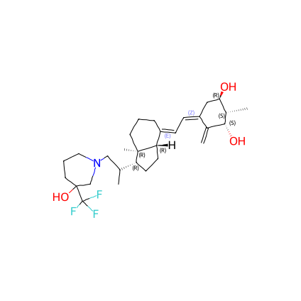 C=C1/C(=C\C=C2/CCC[C@]3(C)[C@@H](C(C)CN4CCCC(O)(C(F)(F)F)C4)CC[C@@H]23)C[C@@H](O)[C@H](C)[C@@H]1O